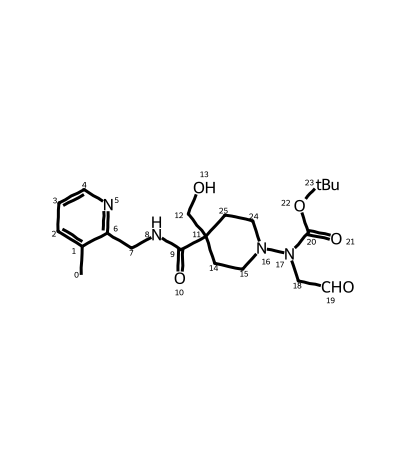 Cc1cccnc1CNC(=O)C1(CO)CCN(N(CC=O)C(=O)OC(C)(C)C)CC1